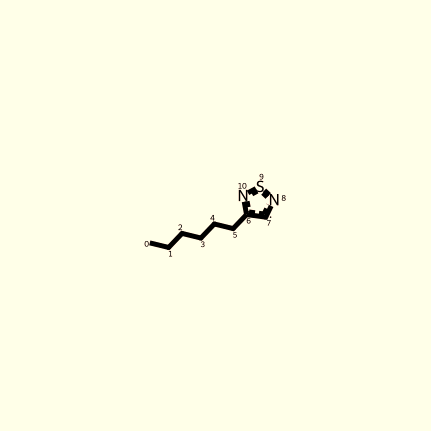 CCCCCCc1[c]nsn1